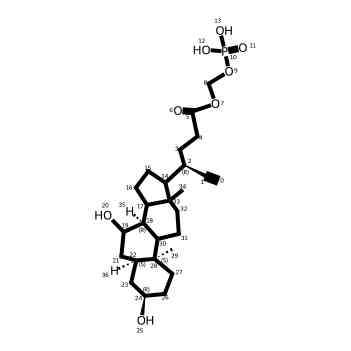 C#C[C@H](CCC(=O)OCOP(=O)(O)O)C1CCC2[C@@H]3C(O)C[C@@H]4C[C@H](O)CC[C@]4(C)C3CCC21C